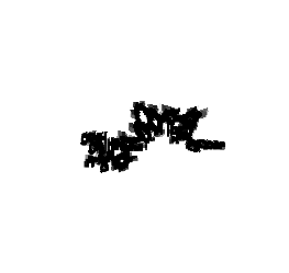 COC(=O)N[C@H](C(=O)N[C@H]1CCC[C@@H]1c1ncc(-c2ccc3c(c2)CCCc2cc(-c4cnc([C@@H]5CCCN5C(=O)[C@@H](NC(=O)OC)C(C)C)[nH]4)ccc2-3)[nH]1)C(C)C